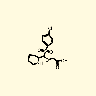 O=C(O)COC(C1CCCCN1)S(=O)(=O)c1ccc(Cl)cc1